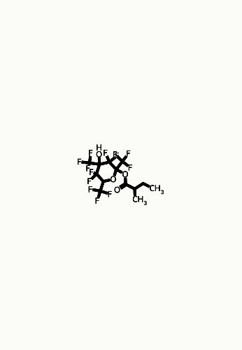 CCC(C)C(=O)OC1(C(F)(F)F)OC(C(F)(F)F)C(F)(F)C(O)(C(F)(F)F)C1(F)F